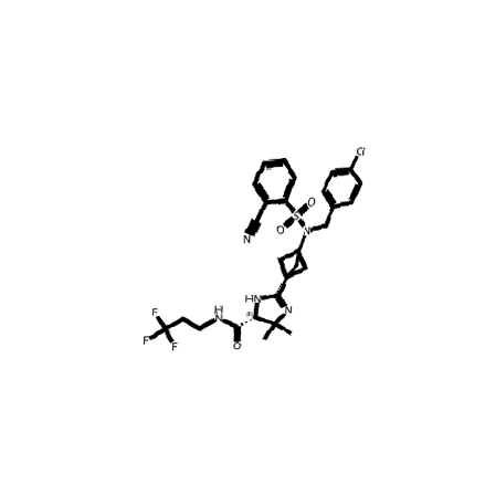 CC1(C)N=C(C23CC(N(Cc4ccc(Cl)cc4)S(=O)(=O)c4ccccc4C#N)(C2)C3)N[C@H]1C(=O)NCCC(F)(F)F